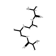 CC(COC(=O)C(C)S)OCC(C)OC(=O)C(C)S